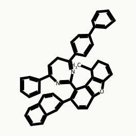 CC1CC=Cc2oc3ccc(-c4ccc5ccccc5c4)c(C4=NC(c5ccccc5)=CCC(c5ccc(-c6ccccc6)cc5)=N4)c3c21